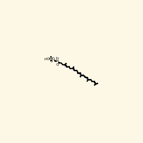 CC(C)=CCC/C(C)=C/CC/C(C)=C/CC/C=C(\C)CC/C=C(\C)CCC(=O)NCOP(C)(=O)O